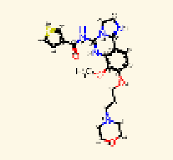 COc1c(OCCCN2CCOCC2)ccc2c1N=C(NC(=O)c1ccsc1)N1CCN=C21